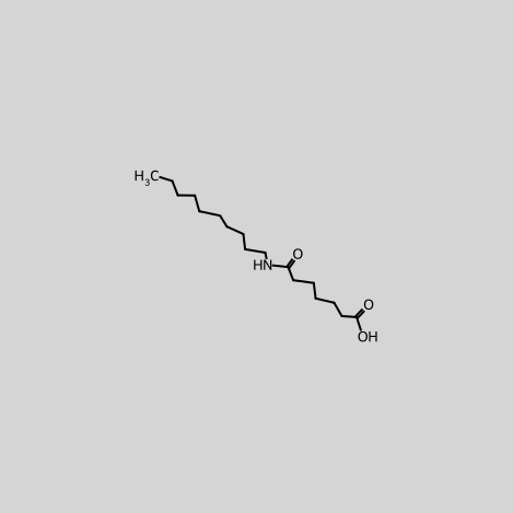 CCCCCCCCCCNC(=O)CCCCCC(=O)O